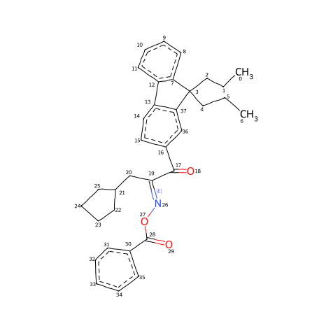 CCCC1(CCC)c2ccccc2-c2ccc(C(=O)/C(CC3CCCC3)=N/OC(=O)c3ccccc3)cc21